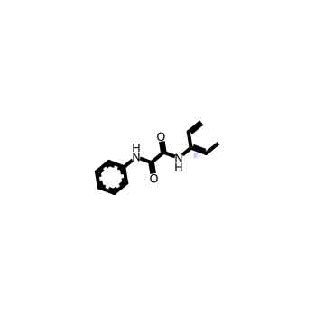 C=C/C(=C\C)NC(=O)C(=O)Nc1ccccc1